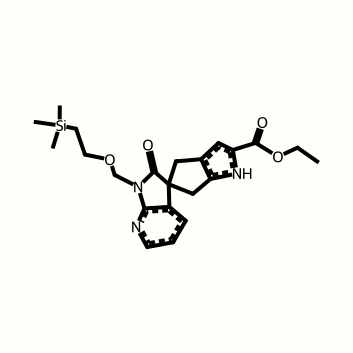 CCOC(=O)c1cc2c([nH]1)CC1(C2)C(=O)N(COCC[Si](C)(C)C)c2ncccc21